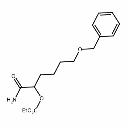 CCOC(=O)OC(CCCCOCc1ccccc1)C(N)=O